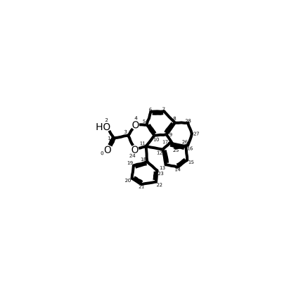 O=C(O)C1Oc2ccc3c(c2C(c2ccccc2)(c2ccccc2)O1)CCCC3